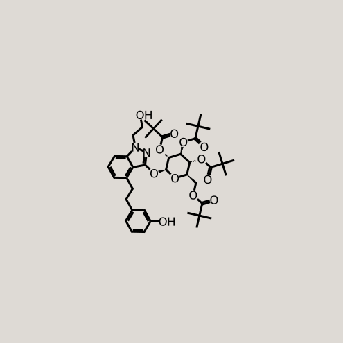 CC(C)(C)C(=O)OC[C@H]1O[C@@H](Oc2nn(CCO)c3cccc(CCc4cccc(O)c4)c23)[C@H](OC(=O)C(C)(C)C)[C@@H](OC(=O)C(C)(C)C)[C@@H]1OC(=O)C(C)(C)C